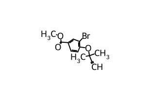 C#CC(C)(C)Oc1ccc(C(=O)OC)cc1Br